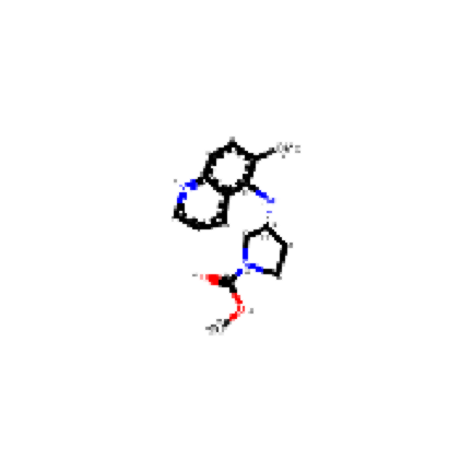 COc1ccc2ncccc2c1N[C@@H]1CCN(C(=O)OC(C)(C)C)C1